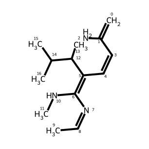 C=C(N)\C=C/C(=C(\N=C/C)NC)C(C)C(C)C